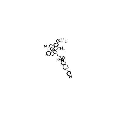 COc1cc(C)c(S(=O)(=O)N2c3ccccc3CC2CCCS(=O)(=O)N2CCC3(CCN(c4ccncc4)CC3)CC2)c(C)c1